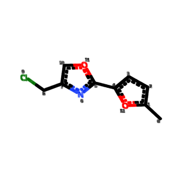 Cc1ccc(-c2nc(CCl)co2)o1